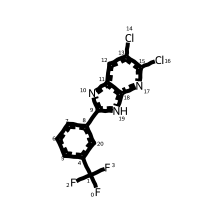 FC(F)(F)c1cccc(-c2nc3cc(Cl)c(Cl)nc3[nH]2)c1